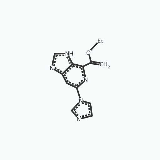 C=C(OCC)c1nc(-n2ccnc2)cc2nc[nH]c12